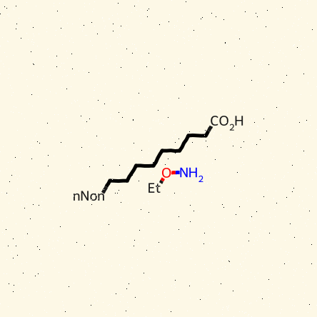 CCCCCCCCCCCCCCCCCC(=O)O.CCON